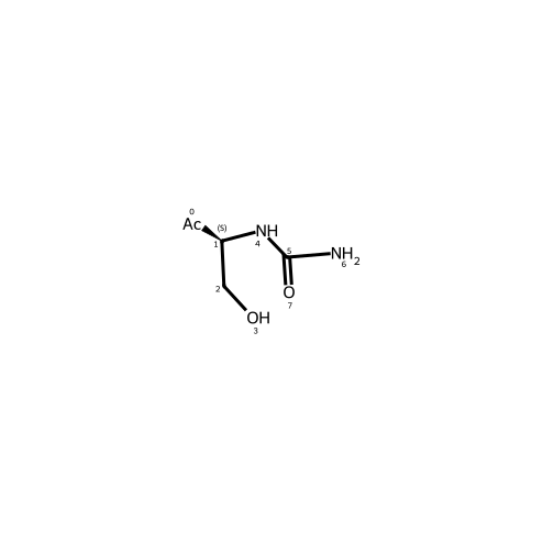 CC(=O)[C@H](CO)NC(N)=O